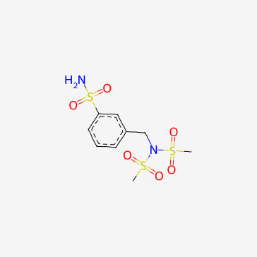 CS(=O)(=O)N(Cc1cccc(S(N)(=O)=O)c1)S(C)(=O)=O